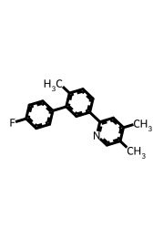 Cc1cnc(-c2ccc(C)c(-c3ccc(F)cc3)c2)cc1C